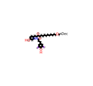 CCCCCCCCCCCOCCCCCCCCCCCC(=O)C(Cc1ccc(O)cc1)NC(=O)CCc1cc(I)c(O)c(I)c1